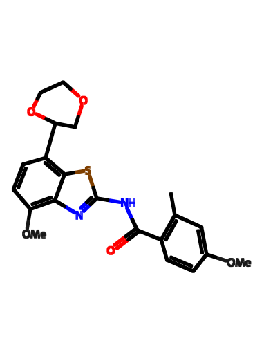 COc1ccc(C(=O)Nc2nc3c(OC)ccc(C4COCCO4)c3s2)c(C)c1